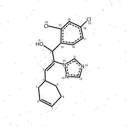 OC(C(=CC1CC=CCC1)n1cncn1)c1ccc(Cl)cc1Cl